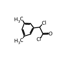 Cc1cc(C)cc(C(Cl)C(=O)Cl)c1